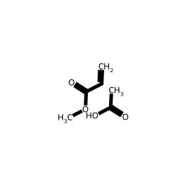 C=CC(=O)OC.CC(=O)O